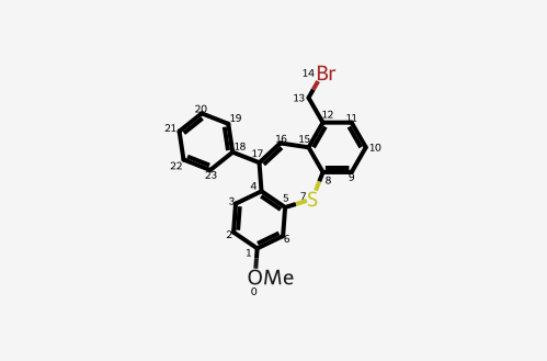 COc1ccc2c(c1)Sc1cccc(CBr)c1C=C2c1ccccc1